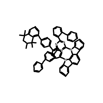 CC1CC(C)(C)c2cccc(-c3ccc(-c4ccc(-n5c6ccccc6c6ccc7c8ccccc8n(-c8nc(-c9ccc(-c%10ccccc%10)cc9)nc(-c9ccccc9-c9ccccc9)n8)c7c65)cc4)cc3)c2C1(C)C